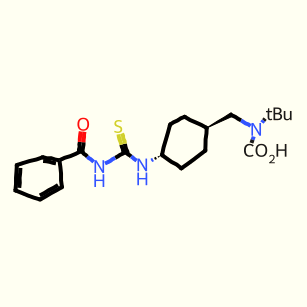 CC(C)(C)N(C[C@H]1CC[C@H](NC(=S)NC(=O)c2ccccc2)CC1)C(=O)O